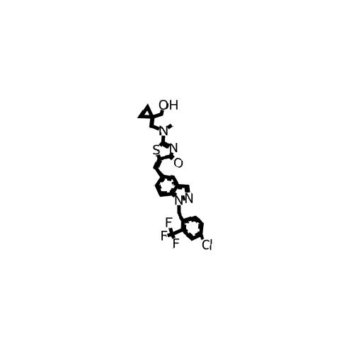 CN(CC1(CO)CC1)C1=NC(=O)C(=Cc2ccc3c(cnn3Cc3ccc(Cl)cc3C(F)(F)F)c2)S1